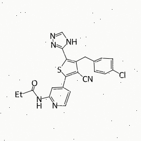 CCC(=O)Nc1cc(-c2sc(-c3nnc[nH]3)c(Cc3ccc(Cl)cc3)c2C#N)ccn1